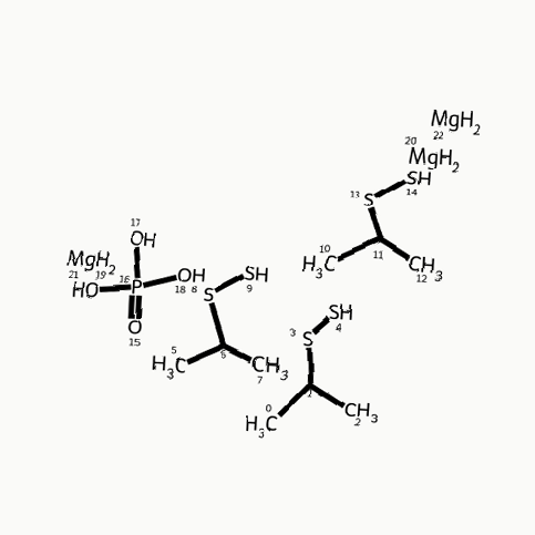 CC(C)SS.CC(C)SS.CC(C)SS.O=P(O)(O)O.[MgH2].[MgH2].[MgH2]